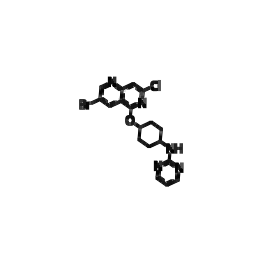 Clc1cc2ncc(Br)cc2c(OC2CCC(Nc3ncccn3)CC2)n1